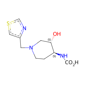 O=C(O)N[C@H]1CCN(Cc2cscn2)C[C@@H]1O